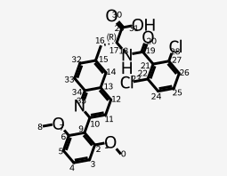 COc1cccc(OC)c1-c1ccc2cc(C[C@@H](NC(=O)c3c(Cl)cccc3Cl)C(=O)O)ccc2n1